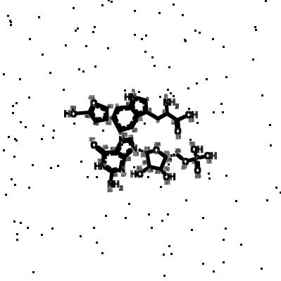 NC(Cc1c[nH]c2ccccc12)C(=O)O.Nc1nc2c(ncn2[C@@H]2O[C@H](COP(=O)(O)O)[C@@H](O)[C@H]2O)c(=O)[nH]1.Oc1ccco1